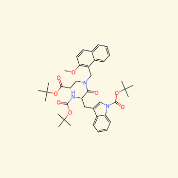 COc1ccc2ccccc2c1CN(CCC(=O)OC(C)(C)C)C(=O)C(Cc1cn(C(=O)OC(C)(C)C)c2ccccc12)NC(=O)OC(C)(C)C